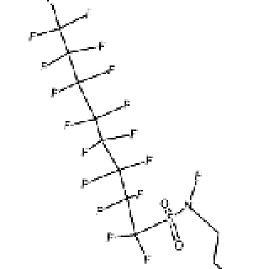 CCCN(F)S(=O)(=O)C(F)(F)C(F)(F)C(F)(F)C(F)(F)C(F)(F)C(F)(F)C(F)(F)C(F)(F)F